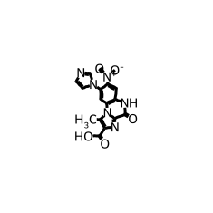 Cc1c(C(=O)O)nc2c(=O)[nH]c3cc([N+](=O)[O-])c(-n4ccnc4)cc3n12